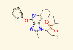 CCCC(n1c(C)nc2c(Oc3ccccc3)nc3c(c21)CCCC3)S(=O)(=O)C(C)C